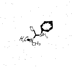 CN(C)C(Cl)[SiH2]c1ccccc1